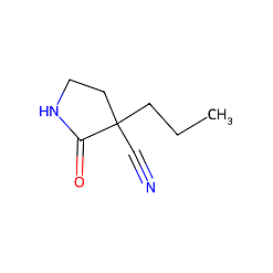 CCCC1(C#N)CCNC1=O